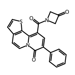 O=C1CN(C(=O)c2cc(-c3ccccc3)c(=O)n3ccc4ccsc4c23)C1